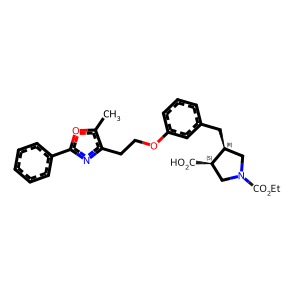 CCOC(=O)N1C[C@H](Cc2cccc(OCCc3nc(-c4ccccc4)oc3C)c2)[C@H](C(=O)O)C1